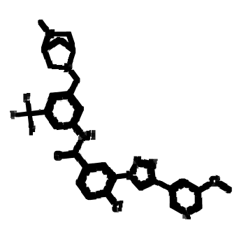 COc1cncc(-c2cn(-c3cc(C(=O)Nc4cc(CN5CC6CC5CN6C)cc(C(F)(F)F)c4)ccc3Cl)nn2)c1